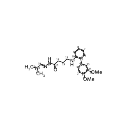 COc1ccc(-c2ccccc2NCCCC(=O)N/N=C/N(C)C)cc1OC